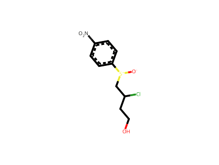 O=[N+]([O-])c1ccc([S+]([O-])CC(Cl)CCO)cc1